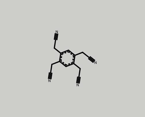 N#CCc1cc(CC#N)c(CC#N)cc1CC#N